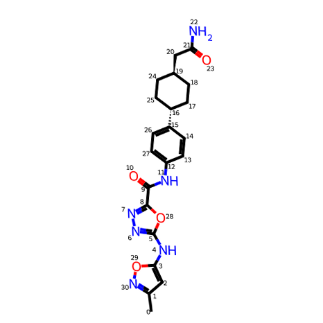 Cc1cc(Nc2nnc(C(=O)Nc3ccc([C@H]4CC[C@H](CC(N)=O)CC4)cc3)o2)on1